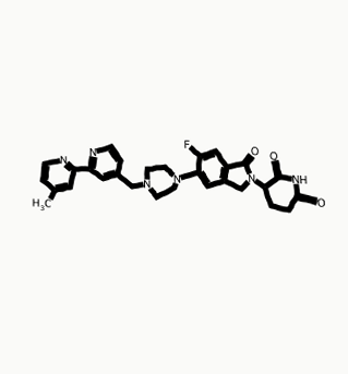 Cc1ccnc(-c2cc(CN3CCN(c4cc5c(cc4F)C(=O)N(C4CCC(=O)NC4=O)C5)CC3)ccn2)c1